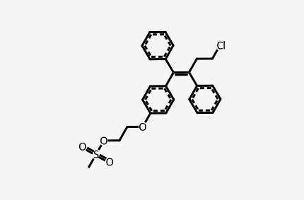 CS(=O)(=O)OCCOc1ccc(/C(=C(/CCCl)c2ccccc2)c2ccccc2)cc1